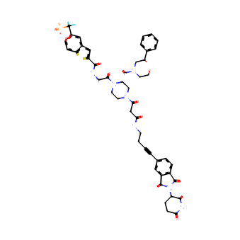 CC(C)(C)[C@H](NC(=O)c1cc2cc(C(F)(F)P(=O)(O)O)ccc2s1)C(=O)N1CCN(C(=O)CC(=O)NCCC#Cc2ccc3c(c2)C(=O)N(C2CCC(=O)NC2=O)C3=O)C[C@H]1C(=O)N1CCOC(c2ccccc2)C1